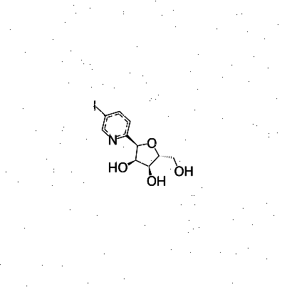 OC[C@H]1O[C@H](c2ccc(I)cn2)[C@H](O)[C@@H]1O